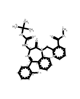 COC(=O)c1cccnc1CN1C(=O)C(NC(=O)OC(C)(C)C)N=C(c2ccccc2F)c2ccccc21